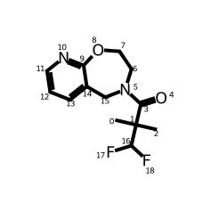 CC(C)(C(=O)N1CCOc2ncccc2C1)C(F)F